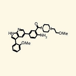 COCCN1CCN(C(=O)c2cc(-c3cnc4[nH]cc(-c5ccccc5OC)c4c3)ccc2N)CC1